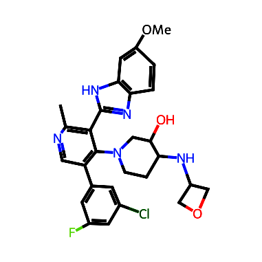 COc1ccc2nc(-c3c(C)ncc(-c4cc(F)cc(Cl)c4)c3N3CCC(NC4COC4)C(O)C3)[nH]c2c1